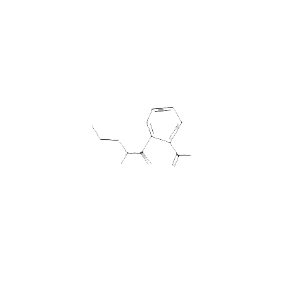 CCCC(C)C(=O)c1ccccc1C(=O)O